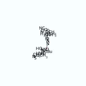 Cc1ncsc1-c1ccc([C@H](C)NC(=O)[C@@H]2C[C@@H](O)CN2C(=O)[C@@H](NC(=O)CCCCN2CCN(c3ccc(C(=O)N[C@H]4C(C)(C)[C@H](Oc5ccc(C#N)c(Cl)c5)C4(C)C)cn3)CC2)C(C)(C)C)cc1